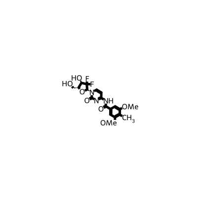 COc1cc(C(=O)Nc2ccn([C@@H]3O[C@H](CO)[C@@H](O)C3(F)F)c(=O)n2)cc(OC)c1C